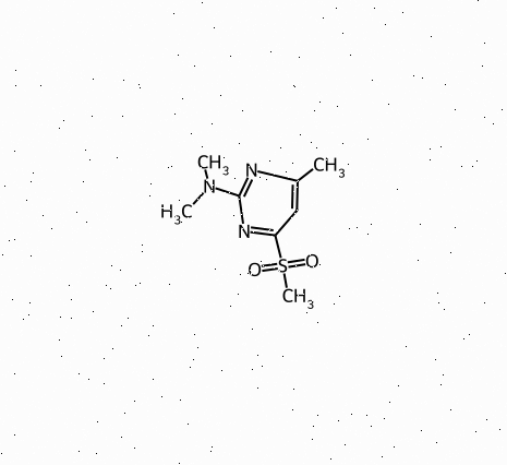 Cc1cc(S(C)(=O)=O)nc(N(C)C)n1